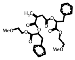 C=C(CC(=O)OC(Cc1ccccc1)C(=O)OCCOC)C(=O)OC(Cc1ccccc1)C(=O)OCCOC